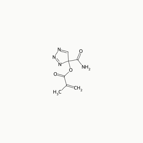 C=C(C)C(=O)OC1(C(N)=O)C=NN=N1